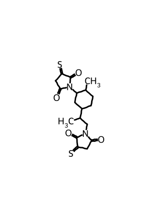 CC(CN1C(=O)CC(=S)C1=O)C1CCC(C)C(N2C(=O)CC(=S)C2=O)C1